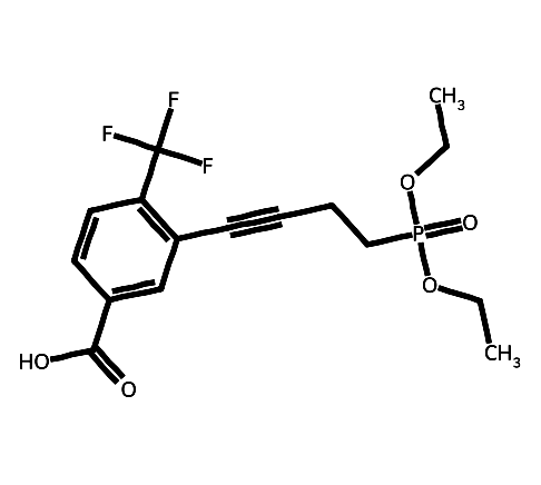 CCOP(=O)(CCC#Cc1cc(C(=O)O)ccc1C(F)(F)F)OCC